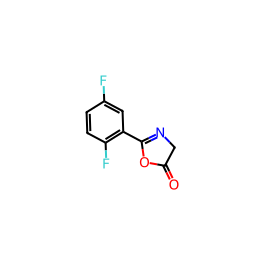 O=C1CN=C(c2cc(F)ccc2F)O1